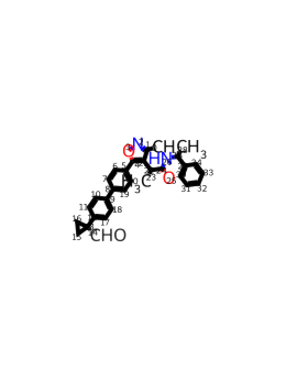 Cc1noc(-c2ccc(-c3ccc(C4(C=O)CC4)cc3)cc2)c1C(C)C(=O)NC(C)c1ccccc1